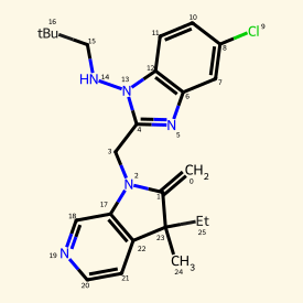 C=C1N(Cc2nc3cc(Cl)ccc3n2NCC(C)(C)C)c2cnccc2C1(C)CC